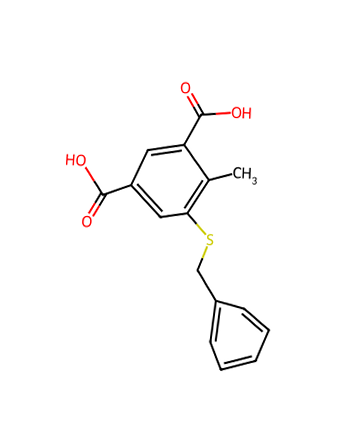 Cc1c(SCc2ccccc2)cc(C(=O)O)cc1C(=O)O